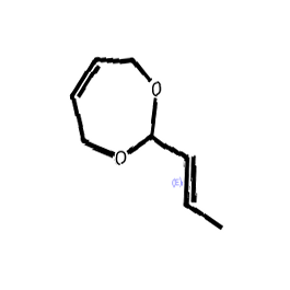 C/C=C/C1OCC=CCO1